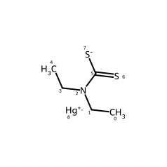 CCN(CC)C(=S)[S-].[Hg+]